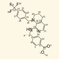 COC(=O)c1ccc([C@H](C)Nc2nccc3c2N(Cc2ccc(C(F)(F)F)cc2)CCC3)cc1